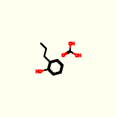 CCCc1ccccc1O.O=C(O)O